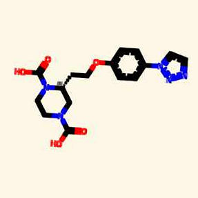 O=C(O)N1CCN(C(=O)O)[C@H](CCOc2ccc(-n3ccnn3)cc2)C1